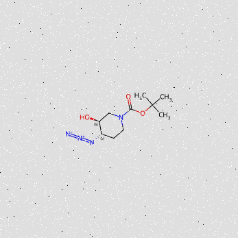 CC(C)(C)OC(=O)N1CC[C@H](N=[N+]=[N-])[C@@H](O)C1